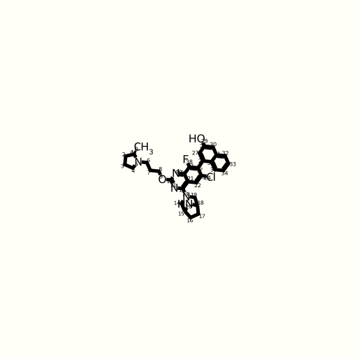 C[C@@H]1CCCN1CCCOc1nc(N2CC3CCC(C2)N3)c2cc(Cl)c(-c3cc(O)cc4ccccc34)c(F)c2n1